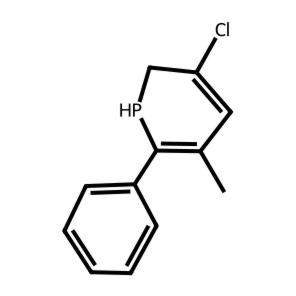 CC1=C(c2ccccc2)PCC(Cl)=C1